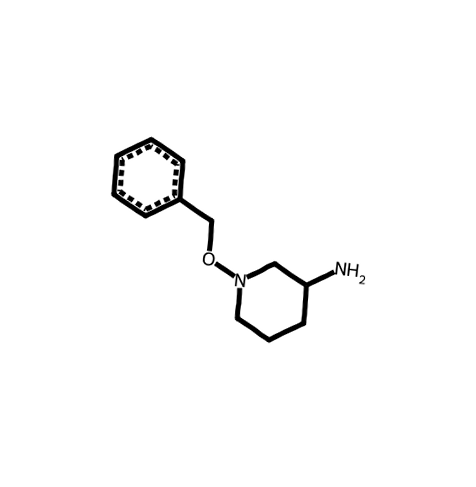 NC1CCCN(OCc2ccccc2)C1